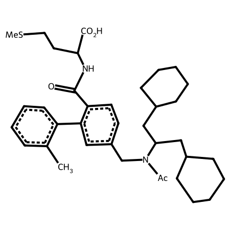 CSCCC(NC(=O)c1ccc(CN(C(C)=O)C(CC2CCCCC2)CC2CCCCC2)cc1-c1ccccc1C)C(=O)O